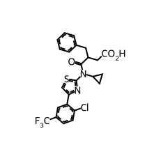 O=C(O)CC(Cc1ccccc1)C(=O)N(c1nc(-c2cc(C(F)(F)F)ccc2Cl)cs1)C1CC1